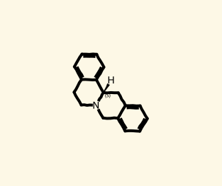 c1ccc2c(c1)C[C@H]1c3ccccc3CCN1C2